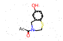 CC(=O)C(=O)N1CCSc2ccc(O)cc2C1